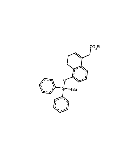 CCOC(=O)CC1=CCCc2c(O[Si](c3ccccc3)(c3ccccc3)C(C)(C)C)cccc21